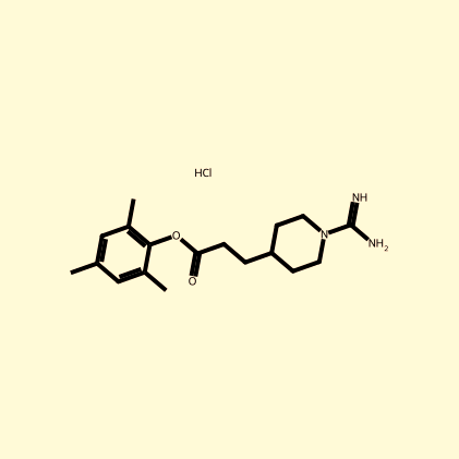 Cc1cc(C)c(OC(=O)CCC2CCN(C(=N)N)CC2)c(C)c1.Cl